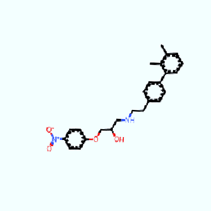 Cc1cccc(-c2ccc(CCNCC(O)COc3ccc([N+](=O)[O-])cc3)cc2)c1C